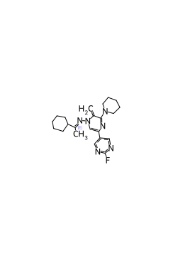 C=C1C(N2CCCCC2)=NC(c2cnc(F)nc2)=CN1/N=C(\C)C1CCCCC1